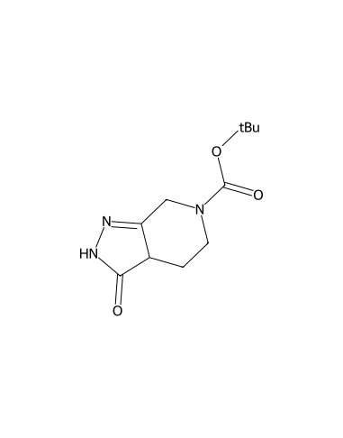 CC(C)(C)OC(=O)N1CCC2C(=O)NN=C2C1